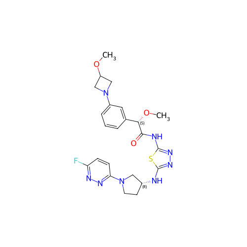 COC1CN(c2cccc([C@H](OC)C(=O)Nc3nnc(N[C@@H]4CCN(c5ccc(F)nn5)C4)s3)c2)C1